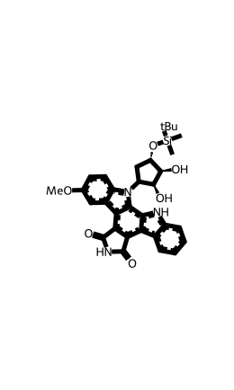 COc1ccc2c(c1)c1c3c(c4c5ccccc5[nH]c4c1n2C1C[C@H](O[Si](C)(C)C(C)(C)C)[C@@H](O)[C@H]1O)C(=O)NC3=O